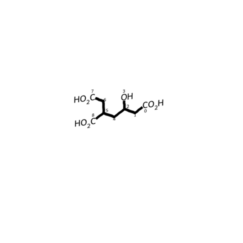 O=C(O)CC(O)CC(CC(=O)O)C(=O)O